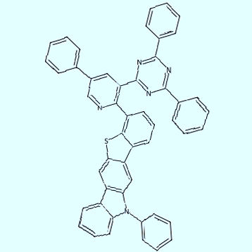 c1ccc(-c2cnc(-c3cccc4c3sc3cc5c6ccccc6n(-c6ccccc6)c5cc34)c(-c3nc(-c4ccccc4)nc(-c4ccccc4)n3)c2)cc1